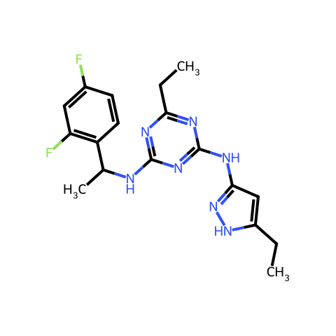 CCc1nc(Nc2cc(CC)[nH]n2)nc(NC(C)c2ccc(F)cc2F)n1